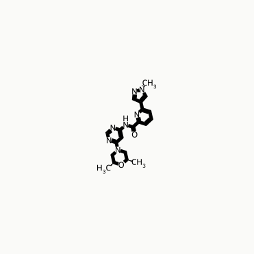 C[C@@H]1CN(c2cc(NC(=O)c3cccc(-c4cnn(C)c4)n3)ncn2)C[C@H](C)O1